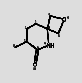 CC1CCC2(COC2)NC1=O